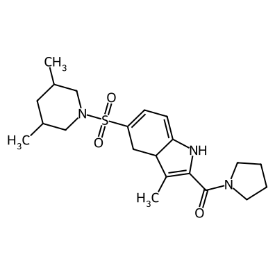 CC1=C(C(=O)N2CCCC2)NC2=CC=C(S(=O)(=O)N3CC(C)CC(C)C3)CC21